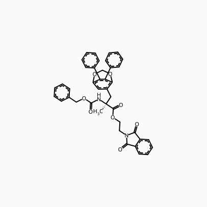 C[C@@](Cc1cc2c(-c3ccccc3)c(-c3ccccc3)c1OCO2)(NC(=O)OCc1ccccc1)C(=O)OCCN1C(=O)c2ccccc2C1=O